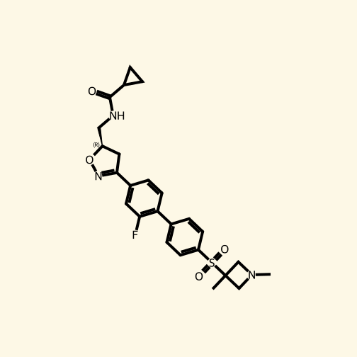 CN1CC(C)(S(=O)(=O)c2ccc(-c3ccc(C4=NO[C@@H](CNC(=O)C5CC5)C4)cc3F)cc2)C1